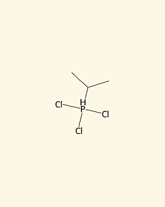 CC(C)[PH](Cl)(Cl)Cl